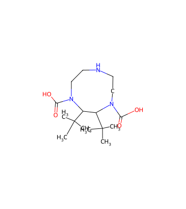 CC(C)(C)C1C(C(C)(C)C)N(C(=O)O)CCNCCN1C(=O)O